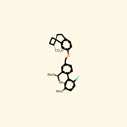 COc1ccc(F)c(-c2ccc(COc3ccc4c(c3)[C@@]3(CC4)CC[C@H]3C(=O)O)cc2[C@H](OC)C(C)(C)C)c1